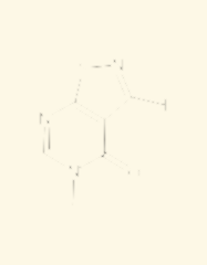 Cn1cnc2snc(I)c2c1=O